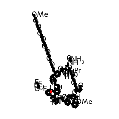 COCCOCCOCCOCCOCCOCCOCCOCCOCCCc1cc(NC(=O)[C@H](CCCNC(N)=O)NC(=O)[C@@H](NC(=O)CCOCCN2C(=O)C=CC2=O)C(C)C)ccc1C[N+]1(C)CCN(CCOc2ccc(-c3c(-c4ccc(F)cc4)sc4ncnc(O[C@H](Cc5ccccc5OCc5ccnc(-c6ccccc6OC)n5)C(=O)O)c34)c(C)c2Cl)CC1.O=C([O-])C(F)(F)F